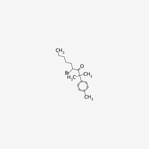 CCCCCC(Br)C(=O)C(C)(C)c1ccc(C)cc1